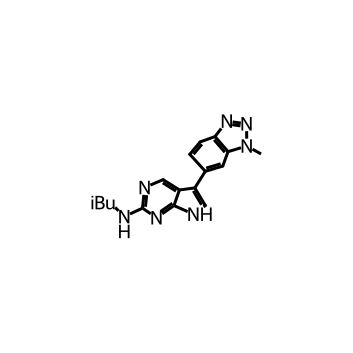 CCC(C)Nc1ncc2c(-c3ccc4nnn(C)c4c3)c[nH]c2n1